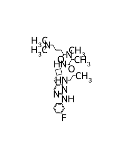 CCCNc1nc(Nc2cccc(F)c2)ncc1C[C@H]1C[C@@H](NC(=O)[C@H](C)N(C)C(=O)/C=C/CN(C)C)C1